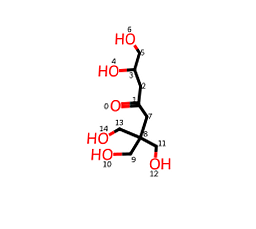 O=C(CC(O)CO)CC(CO)(CO)CO